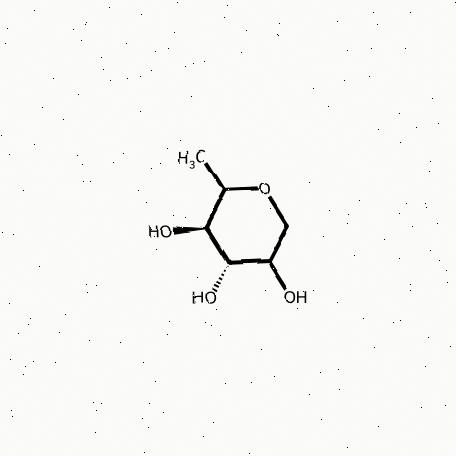 CC1OCC(O)[C@H](O)[C@H]1O